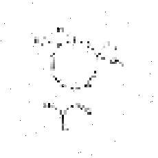 CCN(CC)C(=O)C1CN=CC(C)(C)SSC(C)(C)C=N1